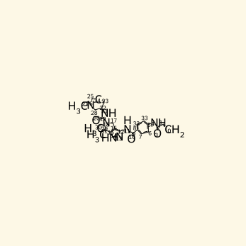 C=CC(=O)Nc1ccc(C(=O)Nc2n[nH]c3c2CN(C(=O)NC2CCCN(C)C2)C3(C)C)cc1